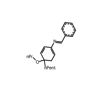 CCCCCC1(OCCC)C=CC(N=Cc2ccccc2)=CC1